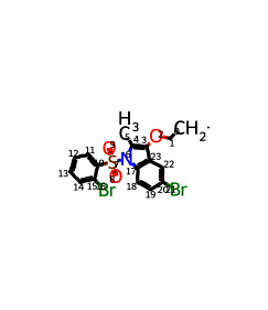 [CH2]COc1c(C)n(S(=O)(=O)c2ccccc2Br)c2ccc(Br)cc12